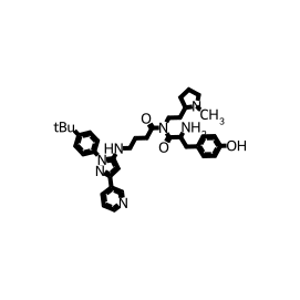 CN1CCCC1CCN(C(=O)CCCNc1cc(-c2cccnc2)nn1-c1ccc(C(C)(C)C)cc1)C(=O)C(N)Cc1ccc(O)cc1